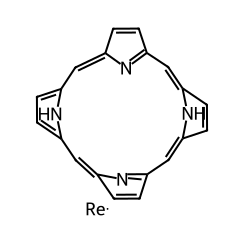 C1=Cc2cc3ccc(cc4nc(cc5ccc(cc1n2)[nH]5)C=C4)[nH]3.[Re]